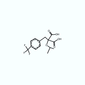 CC(C)OC(Cc1ccc(C(F)(F)F)cc1)(C(=O)O)C(=O)O